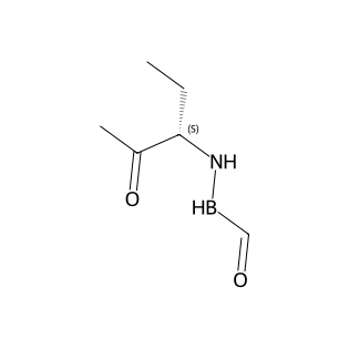 CC[C@H](NBC=O)C(C)=O